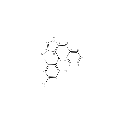 Cc1cc(C(C)(C)C)cc(C)c1N1c2ccccc2Oc2scc(C)c21